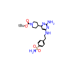 CC(C)(C)OC(=O)N1CCC(c2cc(NCCc3ccc(S(N)(=O)=O)cc3)nc(N)n2)CC1